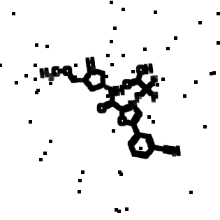 COC[C@@H]1C[C@@H](NC(=O)c2ncc(-c3cccc(C#N)c3)o2)CN1.O=C(O)C(F)(F)F